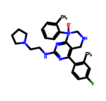 Cc1cc(F)ccc1-c1nc(NCCN2CCCC2)nc2c1CNC[N+]2([O-])c1ccccc1C